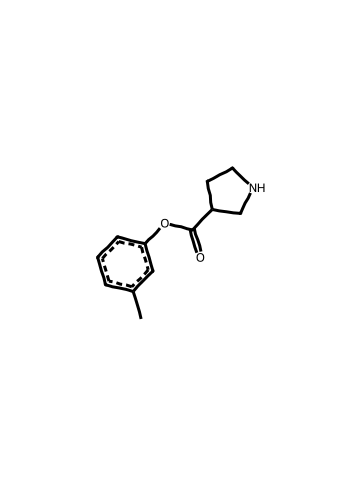 Cc1cccc(OC(=O)C2CCNC2)c1